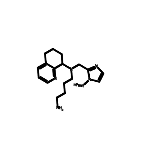 CCCCCn1ccnc1CN(CCCCN)C1CCCc2cccnc21